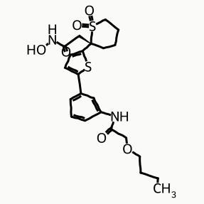 CCCCOCC(=O)Nc1cccc(-c2ccc([C@@]3(CC(=O)NO)CCCCS3(=O)=O)s2)c1